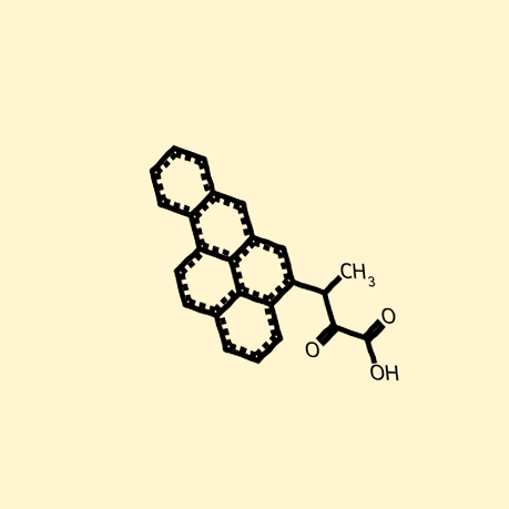 CC(C(=O)C(=O)O)c1cc2cc3ccccc3c3ccc4cccc1c4c23